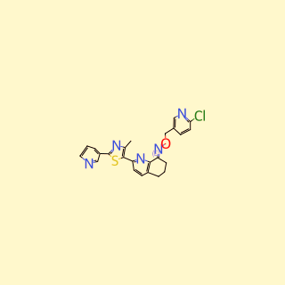 Cc1nc(-c2cccnc2)sc1-c1ccc2c(n1)/C(=N/OCc1ccc(Cl)nc1)CCC2